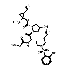 C=CCCN(CC[C@H](NC(=O)OC(C)(C)C)C(=O)N1C[C@H](O)C[C@H]1C(=O)NC1(C(=O)O)CC1C=C)S(=O)(=O)c1ccccc1[N+](=O)[O-]